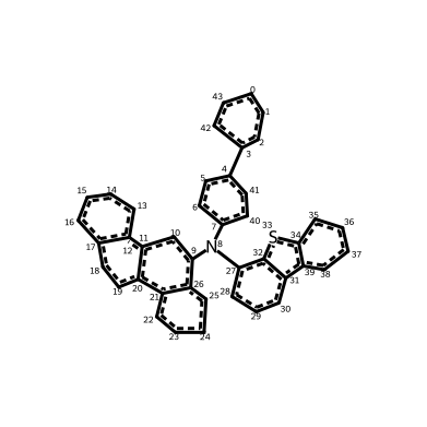 c1ccc(-c2ccc(N(c3cc4c5ccccc5ccc4c4ccccc34)c3cccc4c3sc3ccccc34)cc2)cc1